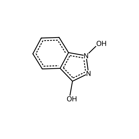 Oc1nn(O)c2ccccc12